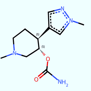 CN1CC[C@@H](c2cnn(C)c2)[C@H](OC(N)=O)C1